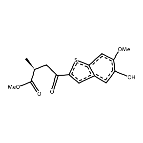 COC(=O)[C@@H](C)CC(=O)c1cc2cc(O)c(OC)cc2s1